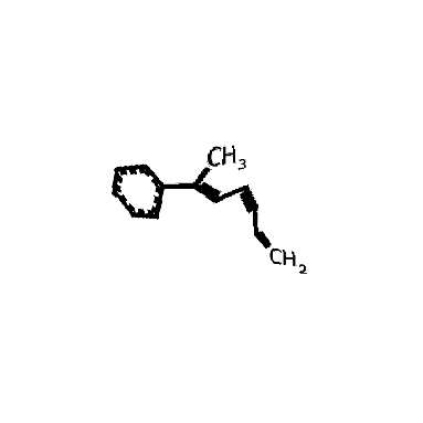 C=C/C=C\C=C(/C)c1ccccc1